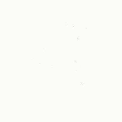 C[C@@H]1CCCN(C2CC(N3C(=O)C4(CCN(C5COC5)CC4)c4ccc(B5OC(C)(C)C(C)(C)O5)cc43)C2)C1